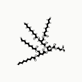 CCCCCCCCC(=O)OCC(COC(=O)CCCCCCCC)CC(=O)O[C@H]1CN(C(=O)OCCN(C)C)C[C@H]1OC(=O)CC(COC(=O)CCCCCCCC)COC(=O)CCCCCCCC